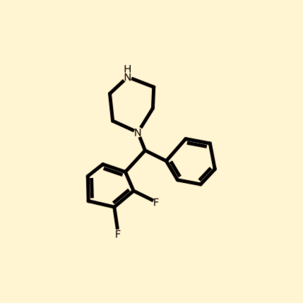 Fc1cccc(C(c2ccccc2)N2CCNCC2)c1F